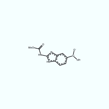 CCC[S+]([O-])c1ccc2[nH]c(NC(=O)OC)nc2c1